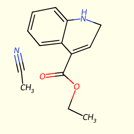 CC#N.CCOC(=O)C1=CCNc2ccccc21